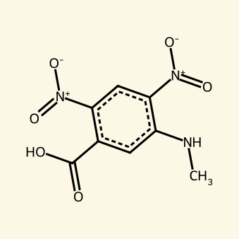 CNc1cc(C(=O)O)c([N+](=O)[O-])cc1[N+](=O)[O-]